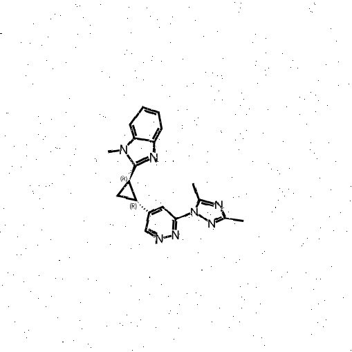 Cc1nc(C)n(-c2cc([C@@H]3C[C@H]3c3nc4ccccc4n3C)cnn2)n1